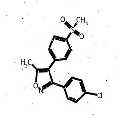 Cc1onc(-c2ccc(Cl)cc2)c1-c1ccc(S(C)(=O)=O)cc1